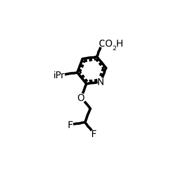 CC(C)c1cc(C(=O)O)cnc1OCC(F)F